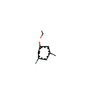 CC(C)(C)c1cc(Cl)cc(OCC(F)(F)F)c1